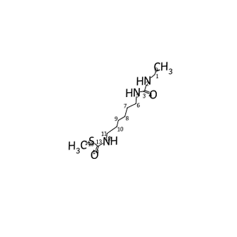 CCNC(=O)NCCCCCCNC(=O)SC